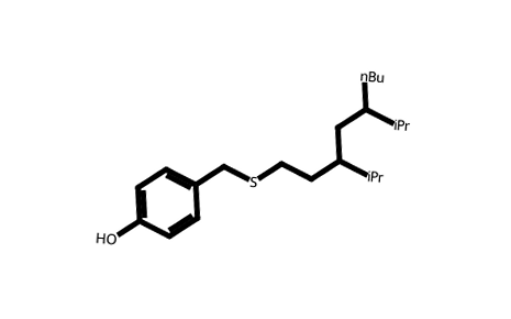 CCCCC(CC(CCSCc1ccc(O)cc1)C(C)C)C(C)C